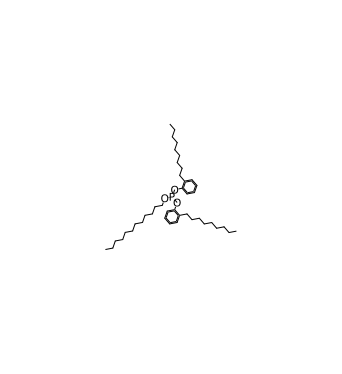 CCCCCCCCCCCCOP(Oc1ccccc1CCCCCCCCC)Oc1ccccc1CCCCCCCCC